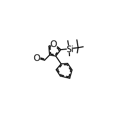 CC(C)(C)[Si](C)(C)c1occ(C=O)c1-c1ccccc1